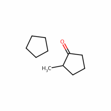 C1CCCC1.CC1CCCC1=O